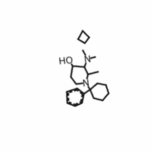 C1CCC1.CC1C(N(C)C)C(O)CCN1C1(c2ccccc2)CCCCC1